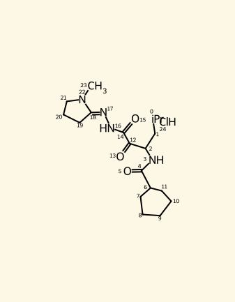 CC(C)CC(NC(=O)C1CCCCC1)C(=O)C(=O)NN=C1CCCN1C.Cl